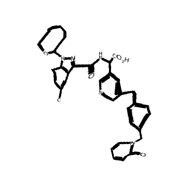 O=C(NC(C(=O)O)c1cncc(Cc2ccc(Cn3ccccc3=O)cc2)c1)c1nn(C2CCCCO2)c2ccc(Cl)cc12